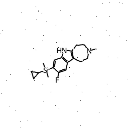 CN1CCc2[nH]c3cc([Si](C)(C)C4CC4)c(F)cc3c2CC1